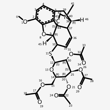 COc1ccc2c3c1O[C@H]1C(S[C@@H]4O[C@H](COC(C)=O)[C@@H](OC(C)=O)[C@H](OC(C)=O)[C@H]4OC(C)=O)C=CC4[C@@H](C2)N(C)CC[C@@]341